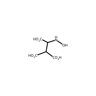 O=C(O)C(NO)C(C(=O)O)C(=O)O